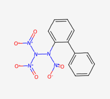 O=[N+]([O-])N(c1ccccc1-c1ccccc1)N([N+](=O)[O-])[N+](=O)[O-]